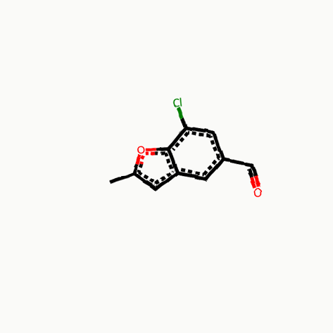 Cc1cc2cc(C=O)cc(Cl)c2o1